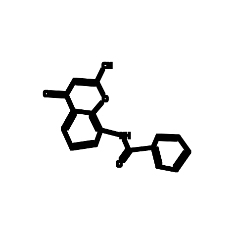 N#Cc1cc(=O)c2cccc(NC(=O)c3ccccc3)c2o1